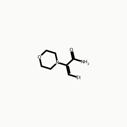 CC/C=C(\C(N)=O)N1CCOCC1